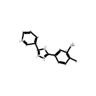 Cc1ccc(-c2nnc(-c3cccnc3)o2)cc1O